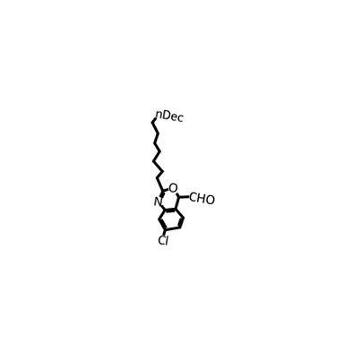 CCCCCCCCCCCCCCCCCC1=Nc2cc(Cl)ccc2C(C=O)O1